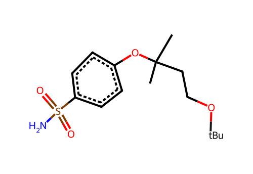 CC(C)(C)OCCC(C)(C)Oc1ccc(S(N)(=O)=O)cc1